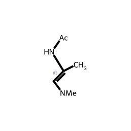 CN/C=C(\C)NC(C)=O